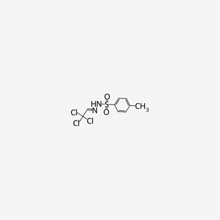 Cc1ccc(S(=O)(=O)NN=CC(Cl)(Cl)Cl)cc1